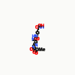 CO[C@]1(C)C(=O)OCc2c1cc1n(c2=O)Cc2cc3c(CN(C)C)c(OC(=O)NCc4ccc(/C=C/C(=O)NO)cc4)ccc3nc2-1